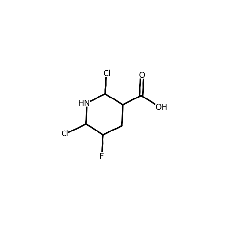 O=C(O)C1CC(F)C(Cl)NC1Cl